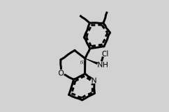 Cc1ccc([C@@]2(NCl)CCOc3cccnc32)cc1C